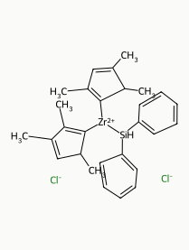 CC1=CC(C)[C]([Zr+2]([C]2=C(C)C=C(C)C2C)[SiH](c2ccccc2)c2ccccc2)=C1C.[Cl-].[Cl-]